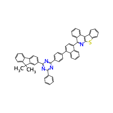 CC1(C)c2ccccc2-c2ccc(-c3nc(-c4ccccc4)nc(-c4ccc(-c5ccc(-c6nc7sc8ccccc8c7c7ccccc67)c6ccccc56)cc4)n3)cc21